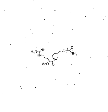 CC(=O)O[C@@H](CCCNC(=N)N)C(=O)N1CCC(CCOC(C)(C)C(N)=O)CC1